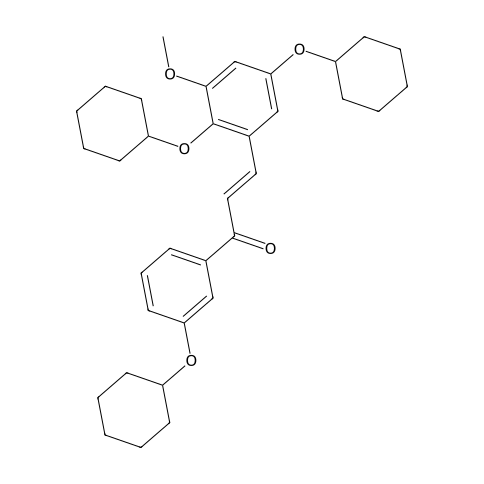 COc1cc(OC2CCCCC2)cc(C=CC(=O)c2cccc(OC3CCCCC3)c2)c1OC1CCCCC1